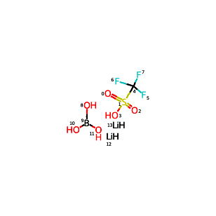 O=S(=O)(O)C(F)(F)F.OB(O)O.[LiH].[LiH]